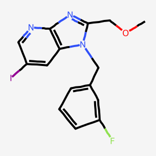 COCc1nc2ncc(I)cc2n1Cc1cccc(F)c1